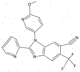 COc1ccc(-n2c(-c3ccccn3)nc3cc(C(F)(F)F)c(C#N)cc32)cn1